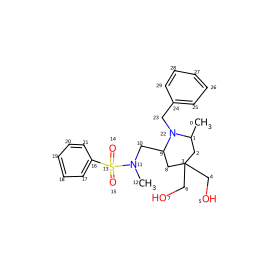 CC1CC(CO)(CO)CC(CN(C)S(=O)(=O)c2ccccc2)N1Cc1ccccc1